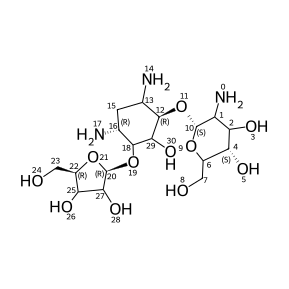 NC1C(O)[C@H](O)C(CO)O[C@@H]1O[C@@H]1C(N)C[C@@H](N)C(O[C@@H]2O[C@H](CO)C(O)C2O)C1O